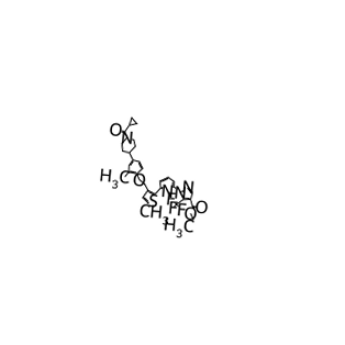 CCOC(=O)c1cnn(-c2cccc(-c3sc(C)cc3COc3ccc(C4CCN(C(=O)C5CC5)CC4)cc3C)n2)c1C(F)(F)F